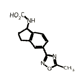 Cc1nc(-c2ccc3c(c2)CCC3NC(=O)O)no1